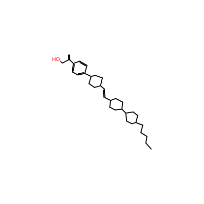 C=C(CO)c1ccc(C2CCC(/C=C/C3CCC(C4CCC(CCCCC)CC4)CC3)CC2)cc1